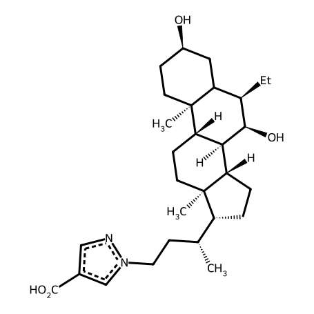 CC[C@@H]1C2C[C@H](O)CC[C@]2(C)[C@H]2CC[C@]3(C)[C@@H]([C@H](C)CCn4cc(C(=O)O)cn4)CC[C@H]3[C@@H]2[C@@H]1O